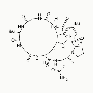 CC[C@H](C)C1NC(=O)CNC(=O)[C@@H]2Cc3c([nH]c4ccccc34)SC[C@H](NC(=O)CNC1=O)C(=O)N[C@@H](CC(N)=O)C(=O)N1CCC[C@@H]1C(=O)N[C@@H]([C@@H](C)CC)C(=O)N2